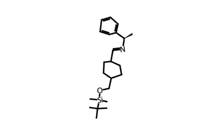 C[C@@H](N=CC1CCC(CO[Si](C)(C)C(C)(C)C)CC1)c1ccccc1